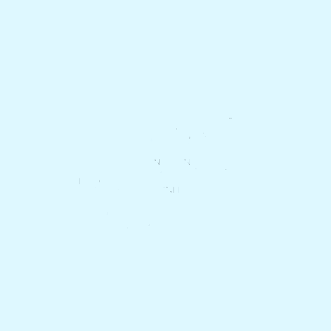 Cc1cc(-c2ccnc(Nc3cc(C(=O)O)ccc3C)n2)c(C)o1